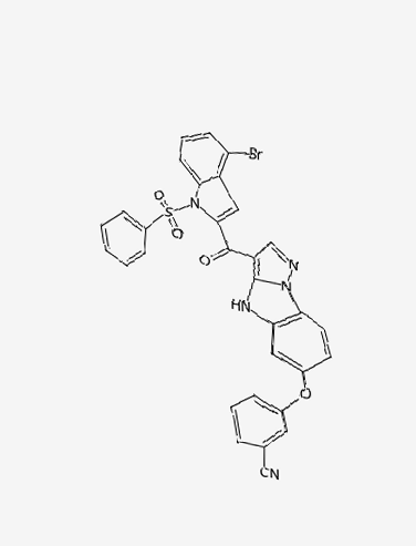 N#Cc1cccc(Oc2ccc3c(c2)[nH]c2c(C(=O)c4cc5c(Br)cccc5n4S(=O)(=O)c4ccccc4)cnn23)c1